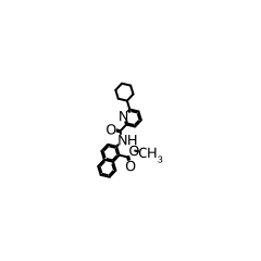 COC(=O)c1c(NC(=O)c2cccc(C3CCCCC3)n2)ccc2ccccc12